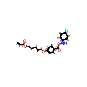 C=CC(=O)OCCCCCOc1ccc(C(=O)ONc2ccc(F)cc2)cc1